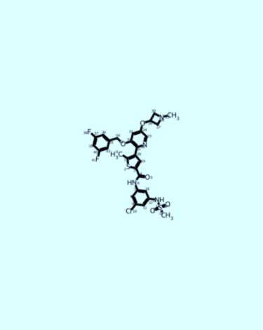 Cc1sc(C(=O)Nc2cc(Cl)cc(NS(C)(=O)=O)c2)cc1-c1ncc(OC2CN(C)C2)cc1OCc1cc(F)cc(F)c1